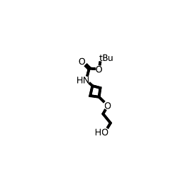 CC(C)(C)OC(=O)NC1CC(OCCO)C1